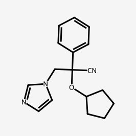 N#CC(Cn1ccnc1)(OC1CCCC1)c1ccccc1